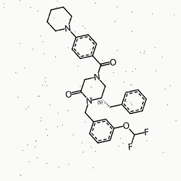 O=C(c1ccc(N2CCCCC2)cc1)N1CC(=O)N(Cc2cccc(OC(F)F)c2)[C@@H](Cc2ccccc2)C1